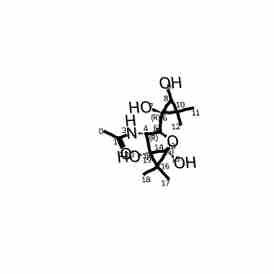 CC(=O)N[C@@H]1[C@@H]([C@]2(O)C(O)C2(C)C)O[C@@]2(O)C(C)(C)[C@@]12O